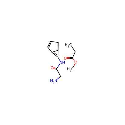 CCC(=O)OC.NCC(=O)Nc1c2cccc1-2